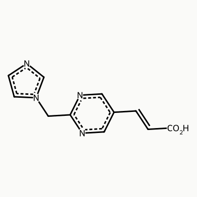 O=C(O)/C=C/c1cnc(Cn2ccnc2)nc1